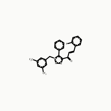 O=C(C=Cc1ccccc1F)c1nnn(Cc2cc(C(F)(F)F)cc(C(F)(F)F)c2)c1-c1ccccc1